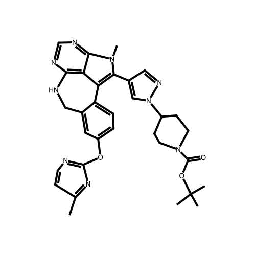 Cc1ccnc(Oc2ccc3c(c2)CNc2ncnc4c2c-3c(-c2cnn(C3CCN(C(=O)OC(C)(C)C)CC3)c2)n4C)n1